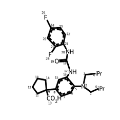 CC(C)CN(CC(C)C)c1ccc(C2(C(=O)O)CCCC2)cc1NC(=O)Nc1ccc(F)cc1F